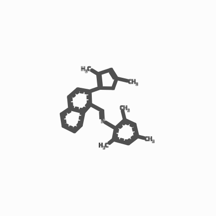 CC1=CC(C)=C(c2ccc3ccccc3c2C=Nc2c(C)cc(C)cc2C)C1